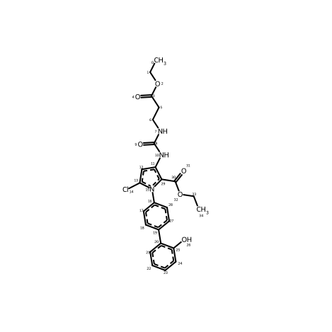 CCOC(=O)CCNC(=O)Nc1cc(Cl)n(-c2ccc(-c3ccccc3O)cc2)c1C(=O)OCC